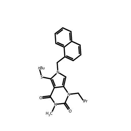 CCCCSc1c2c(=O)n(C)c(=O)n(CC(C)C)c2cn1Cc1cccc2ccccc12